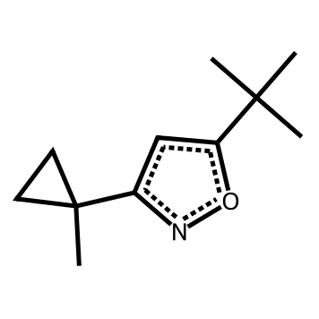 CC(C)(C)c1cc(C2(C)CC2)no1